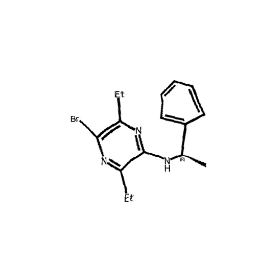 CCc1nc(N[C@H](C)c2ccccc2)c(CC)nc1Br